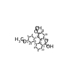 COc1cccc(-c2cccc(C(=O)O)c2-c2cccc(OC)c2)c1